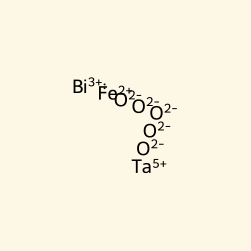 [Bi+3].[Fe+2].[O-2].[O-2].[O-2].[O-2].[O-2].[Ta+5]